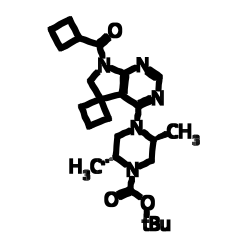 C[C@@H]1CN(c2ncnc3c2C2(CCC2)CN3C(=O)C2CCC2)[C@@H](C)CN1C(=O)OC(C)(C)C